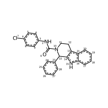 O=C(Nc1ccc(Cl)cc1)N1CCc2c([nH]c3ccccc23)C1c1ccccc1